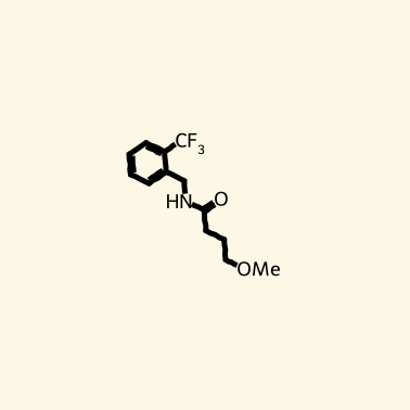 COCCCC(=O)NCc1ccccc1C(F)(F)F